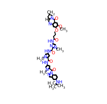 C=C1C[C@H]2C=Nc3cc(OCCCC(=O)Nc4cn(C)c(C(=O)Nc5cc(C(=O)Nc6cc(C(=O)n7ncc8cc(NC(C)(C)C)ccc87)n(C)c6)n(C)c5)n4)c(OC)cc3C(=O)N2C1